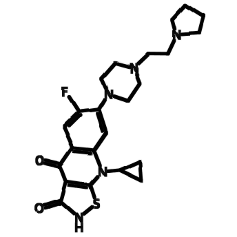 O=c1[nH]sc2c1c(=O)c1cc(F)c(N3CCN(CCN4CCCC4)CC3)cc1n2C1CC1